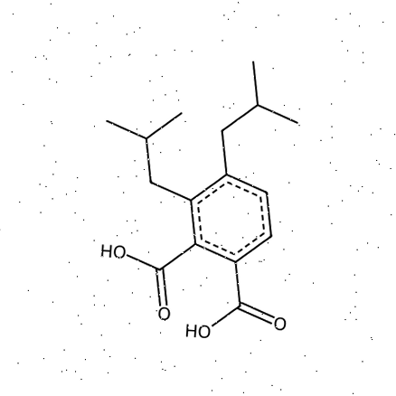 CC(C)Cc1ccc(C(=O)O)c(C(=O)O)c1CC(C)C